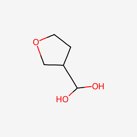 OC(O)C1CCOC1